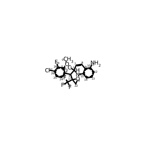 COc1c(C(C2(C)C=Cc3c(N)cccc3N2)C2(C(F)(F)F)CO2)ccc(Cl)c1F